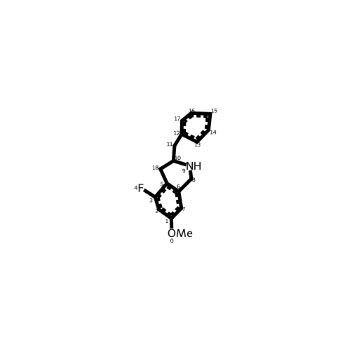 COc1cc(F)c2c(c1)CNC(Cc1ccccc1)C2